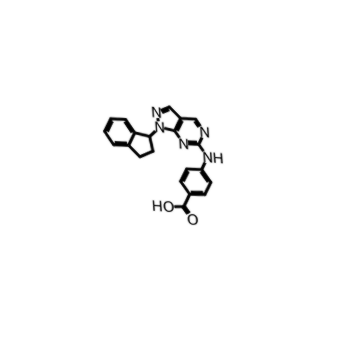 O=C(O)c1ccc(Nc2ncc3cnn(C4CCc5ccccc54)c3n2)cc1